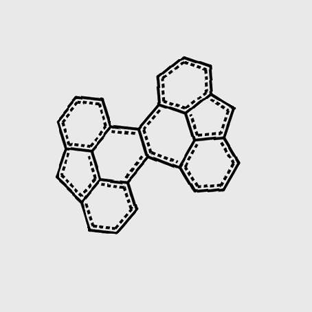 c1cc2cc3cccc4c3c2c(c1)c1c2cccc3cc5cccc(c5c32)c41